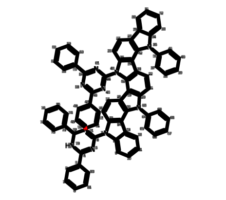 c1ccc(C2=NC(n3c4ccccc4c4c3ccc3c5c(ccc6c7c(ccc8c9ccccc9n(-c9ccccc9)c87)n(-c7nc(-c8ccccc8)nc(-c8ccccc8)n7)c65)n(-c5ccccc5)c34)=NC(c3ccccc3)N2)cc1